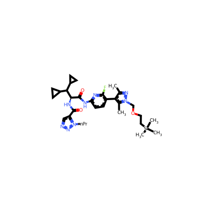 CCCn1nncc1C(=O)N[C@H](C(=O)Nc1ccc(-c2c(C)nn(COCC[Si](C)(C)C)c2C)c(F)n1)C(C1CC1)C1CC1